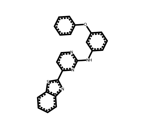 c1ccc(Oc2cccc(Nc3nccc(-c4nc5ccccc5s4)n3)c2)cc1